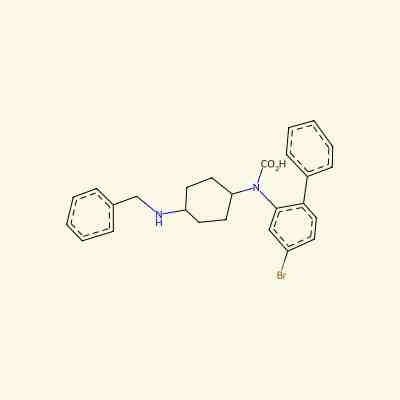 O=C(O)N(c1cc(Br)ccc1-c1ccccc1)C1CCC(NCc2ccccc2)CC1